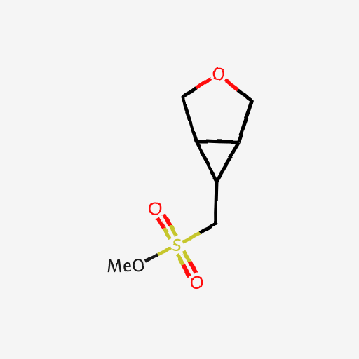 COS(=O)(=O)CC1C2COCC21